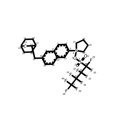 O=S(=O)(OS1(c2ccc3cc(CC4CC5CCC4CC5)ccc3c2)CCCC1)C(F)(F)C(F)(F)C(F)(F)C(F)(F)F